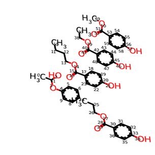 CC(O)Oc1ccccc1.CCCCOC(=O)c1ccc(O)cc1.CCCOC(=O)c1ccc(O)cc1.CCOC(=O)c1ccc(O)cc1.COC(=O)c1ccc(O)cc1